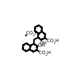 CC(=O)O.O=C(O)c1cc2ccccc2c(Cc2c(O)c(C(=O)O)cc3ccccc23)c1O